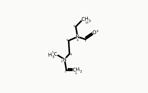 C=CN(C)CCN(C=O)CC